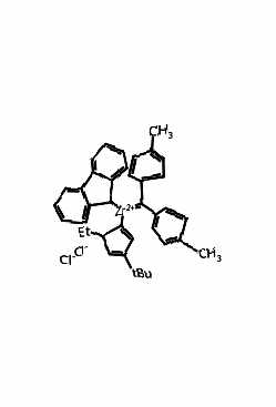 CCC1C=C(C(C)(C)C)C=[C]1[Zr+2](=[C](c1ccc(C)cc1)c1ccc(C)cc1)[CH]1c2ccccc2-c2ccccc21.[Cl-].[Cl-]